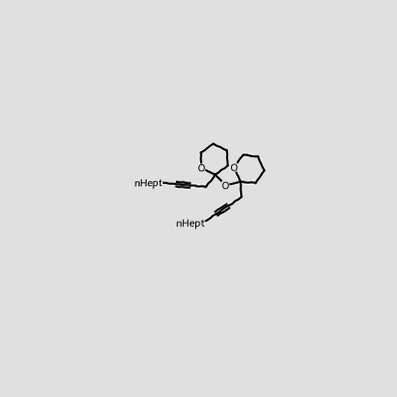 CCCCCCCC#CCC1(OC2(CC#CCCCCCCC)CCCCO2)CCCCO1